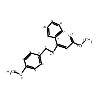 COC(=O)/C=C(/SCc1ccc(OC)cc1)c1ccccc1